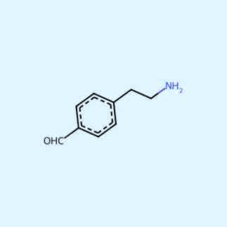 NCCc1ccc(C=O)cc1